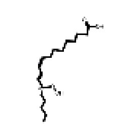 CCCCC[C@@H](C=C/C=C\CCCCCCCC(=O)O)OO